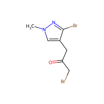 Cn1cc(CC(=O)CBr)c(Br)n1